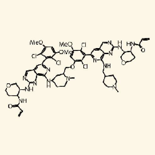 C=CC(=O)N[C@H]1CCOC[C@H]1Nc1ncc2cc(-c3c(Cl)c(OC)cc(OCC4CC(Nc5nc(-c6c(Cl)c(OC)cc(OC)c6Cl)cc6cnc(N[C@@H]7COCC[C@@H]7NC(=O)C=C)nc56)CCN4C)c3Cl)nc(NCC3CCN(C)CC3)c2n1